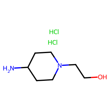 Cl.Cl.NC1CCN(CCO)CC1